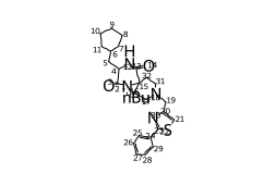 CCCCN1C(=O)C(CC2CCCCC2)NC(=O)C12CCN(Cc1csc(-c3ccccc3)n1)CC2